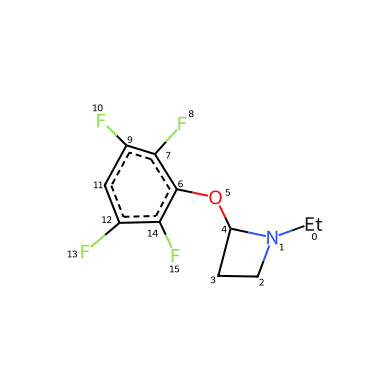 CCN1CCC1Oc1c(F)c(F)cc(F)c1F